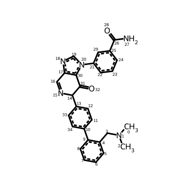 CN(C)Cc1ccccc1-c1ccc(C2N=Cc3ncn(-c4cccc(C(N)=O)c4)c3C2=O)cc1